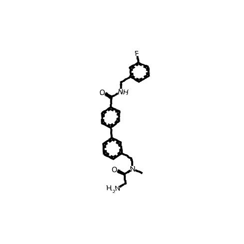 CN(Cc1cccc(-c2ccc(C(=O)NCc3cccc(F)c3)cc2)c1)C(=O)CN